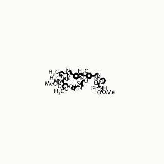 COC(=O)NC(C(=O)N1[C@H](C)[C@H](C)C[C@H]1c1ncc(-c2ccc3c(c2)cc2n3C(c3cnc(C4CCC4)s3)Oc3cc(-c4cnc([C@@H]5CCCN5C(=O)[C@@H](NC(=O)OC)C(C)C)[nH]4)cc(C)c3-2)[nH]1)C1C[C@@H](C)O[C@@H](C)C1